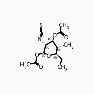 CC[C@H]1O[C@@H](OC(C)=O)[C@H](N=C=S)[C@@H](OC(C)=O)[C@@H]1C